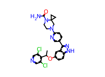 CC(Oc1ccc2[nH]nc(-c3ccc(N4CCN(C(N)=O)C5(CC5)C4)nc3)c2c1)c1c(Cl)cncc1Cl